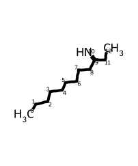 CCCCCCCCCC(=N)CC